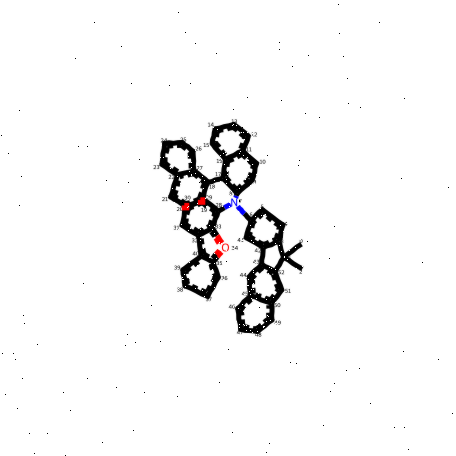 CC1(C)c2ccc(N(c3ccc4ccccc4c3-c3cccc4ccccc34)c3cccc4c3oc3ccccc34)cc2-c2cc3ccccc3cc21